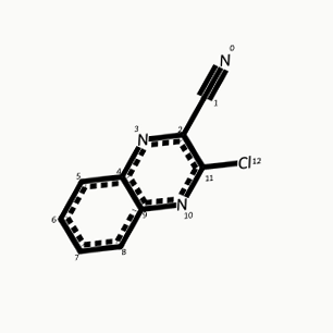 N#Cc1nc2ccccc2nc1Cl